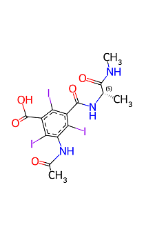 CNC(=O)[C@H](C)NC(=O)c1c(I)c(NC(C)=O)c(I)c(C(=O)O)c1I